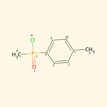 Cc1ccc(P(C)(=O)Cl)cc1